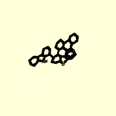 c1ccc2c(c1)[nH]c1c(-c3ccc4oc5ccccc5c4c3-c3cccc4c5ccccc5c5ccccc5c34)cccc12